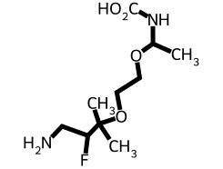 CC(NC(=O)O)OCCOC(C)(C)C(F)CN